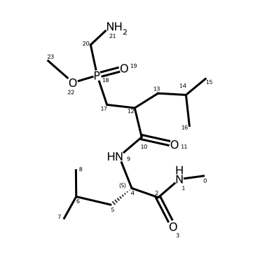 CNC(=O)[C@H](CC(C)C)NC(=O)C(CC(C)C)CP(=O)(CN)OC